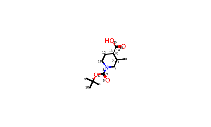 C[C@H]1CN(C(=O)OC(C)(C)C)CC[C@H]1C(=O)O